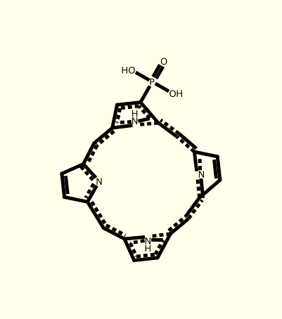 O=P(O)(O)c1cc2cc3nc(cc4ccc(cc5nc(cc1[nH]2)C=C5)[nH]4)C=C3